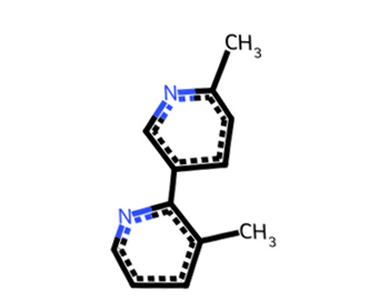 Cc1ccc(-c2ncccc2C)cn1